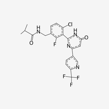 CC(C)C(=O)NCc1ccc(Cl)c(-c2nc(-c3ccc(C(F)(F)F)nc3)cc(=O)[nH]2)c1F